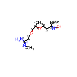 C/N=C(/N)CCOCC(C)OCC/C(=N/O)NC